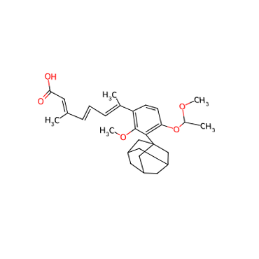 COc1c(C(C)=CC=CC(C)=CC(=O)O)ccc(OC(C)OC)c1C12CC3CC(CC(C3)C1)C2